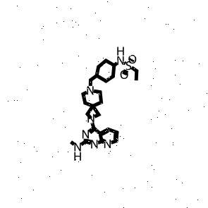 CCS(=O)(=O)NC1CCC(CN2CCC3(CC2)CN(c2nc(NC)nc4ncccc24)C3)CC1